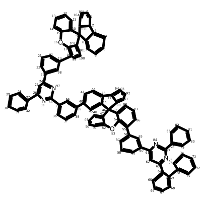 C1=CC2c3ccccc3C3(c4ccccc4Oc4c(-c5cccc(-c6cc(-c7ccccc7)nc(-c7cccc(-c8ccc9c(c8)C8(c%10ccccc%10Oc%10c(-c%11cccc(-c%12cc(-c%13ccccc%13-c%13ccccc%13)nc(-c%13ccccc%13)n%12)c%11)cccc%108)c8ccccc8-9)c7)n6)c5)cccc43)C2C=C1